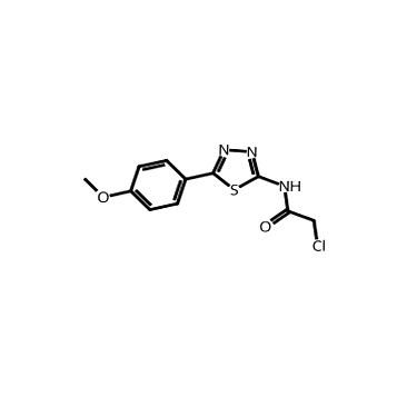 COc1ccc(-c2nnc(NC(=O)CCl)s2)cc1